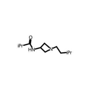 CC(C)CCN1CC(NC(=O)C(C)C)C1